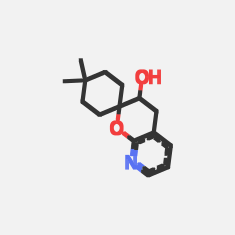 CC1(C)CCC2(CC1)Oc1ncccc1CC2O